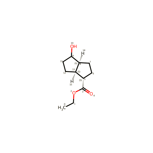 CCOC(=O)[C@H]1CC[C@@H]2C(O)CC[C@H]12